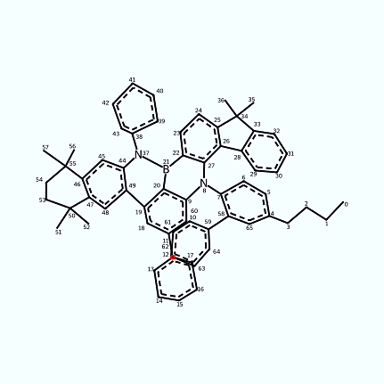 CCCCc1ccc(N2c3cc(-c4ccccc4)cc4c3B(c3ccc5c(c32)-c2ccccc2C5(C)C)N(c2ccccc2)c2cc3c(cc2-4)C(C)(C)CCC3(C)C)c(-c2ccccc2)c1